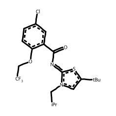 CC(C)Cn1cc(C(C)(C)C)sc1=NC(=O)c1cc(Cl)ccc1OCC(F)(F)F